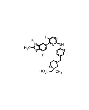 Cc1nc2c(F)cc(-c3nc(Nc4ccc(CN5CCO[C@](C)(CC(=O)O)C5)cn4)ncc3F)cc2n1C(C)C